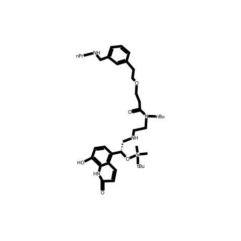 CCCCN(CCNC[C@H](O[Si](C)(C)C(C)(C)C)c1ccc(O)c2[nH]c(=O)ccc12)C(=O)CCOCCc1cccc(CNCCC)c1